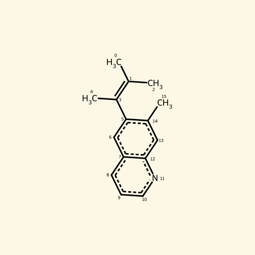 CC(C)=C(C)c1cc2cccnc2cc1C